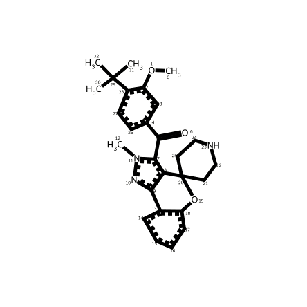 COc1cc(C(=O)c2c3c(nn2C)-c2ccccc2OC32CCNCC2)ccc1C(C)(C)C